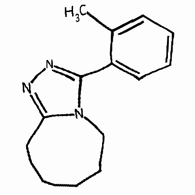 Cc1ccccc1-c1nnc2n1CCCCC2